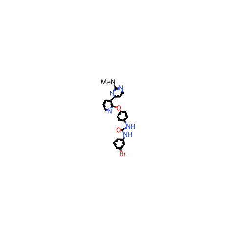 CNc1nccc(-c2cccnc2Oc2ccc(NC(=O)Nc3cccc(Br)c3)cc2)n1